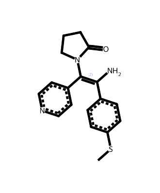 CSc1ccc(/C(N)=C(\c2ccncc2)N2CCCC2=O)cc1